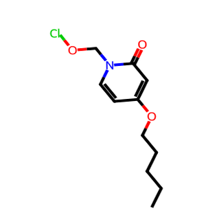 CCCCCOc1ccn(COCl)c(=O)c1